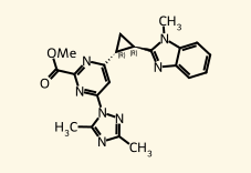 COC(=O)c1nc([C@@H]2C[C@H]2c2nc3ccccc3n2C)cc(-n2nc(C)nc2C)n1